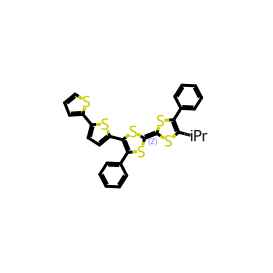 CC(C)C1=C(c2ccccc2)S/C(=C2/SC(c3ccccc3)=C(c3ccc(-c4cccs4)s3)S2)S1